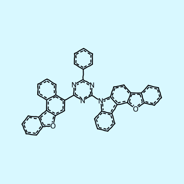 c1ccc(-c2nc(-c3cc4oc5ccccc5c4c4ccccc34)nc(-n3c4ccccc4c4c5oc6ccccc6c5ccc43)n2)cc1